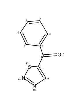 O=C(c1ccccc1)c1[c]nns1